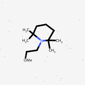 COCCN1C(C)(C)C[CH]CC1(C)C